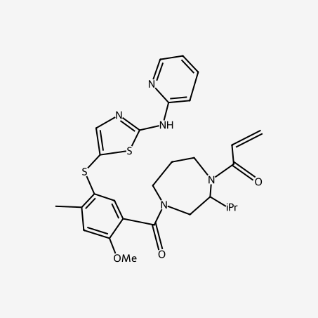 C=CC(=O)N1CCCN(C(=O)c2cc(Sc3cnc(Nc4ccccn4)s3)c(C)cc2OC)CC1C(C)C